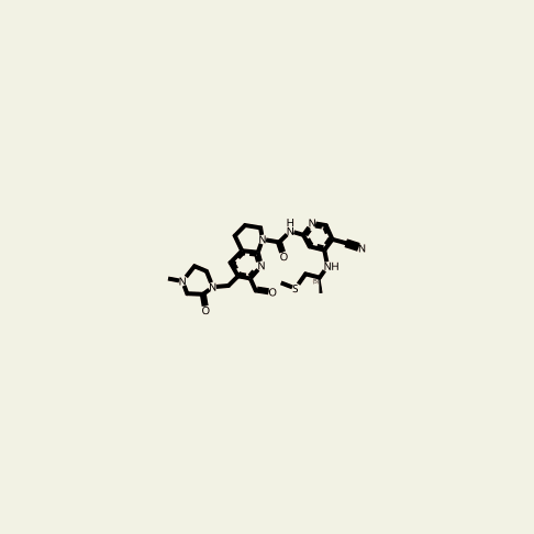 CSC[C@H](C)Nc1cc(NC(=O)N2CCCc3cc(CN4CCN(C)CC4=O)c(C=O)nc32)ncc1C#N